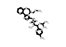 COC[C@@H]1COc2cccnc2-c2nnc(NS(=O)(=O)[C@@H](C)[C@@H](OC(C)C)c3ncc(C)cn3)n21